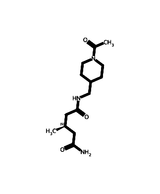 CC(=O)N1CCC(CNC(=O)[CH][C@H](C)CC(N)=O)CC1